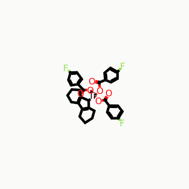 O=C([O][Ti]([O]C(=O)c1ccc(F)cc1)([O]C(=O)c1ccc(F)cc1)[CH]1C2=C(CCCC2)C2=C1CCCC2)c1ccc(F)cc1